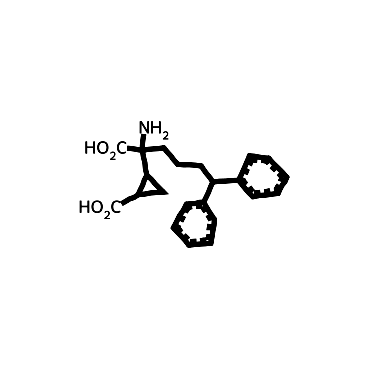 NC(CCCC(c1ccccc1)c1ccccc1)(C(=O)O)C1CC1C(=O)O